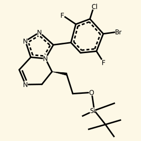 CC(C)(C)[Si](C)(C)OCC[C@H]1CN=Cc2nnc(-c3cc(F)c(Br)c(Cl)c3F)n21